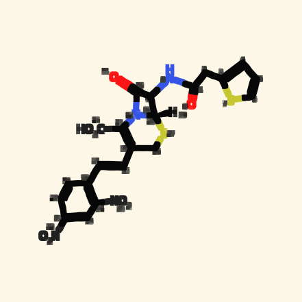 O=C(Cc1cccs1)NC1C(=O)N2C(C(=O)O)=C(C=Cc3ccc([N+](=O)[O-])cc3[N+](=O)[O-])CS[C@@H]12